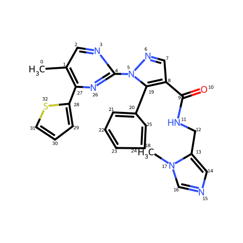 Cc1cnc(-n2ncc(C(=O)NCc3cncn3C)c2-c2ccccc2)nc1-c1cccs1